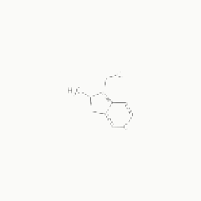 CC1CC2=COC=CC2=C1CCl